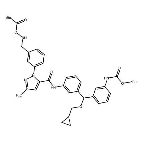 CCCCOC(=O)Nc1cccc(C(OCC2CC2)c2cccc(NC(=O)c3cc(C(F)(F)F)nn3-c3cccc(CNOC(=O)C(C)(C)C)c3)c2)c1